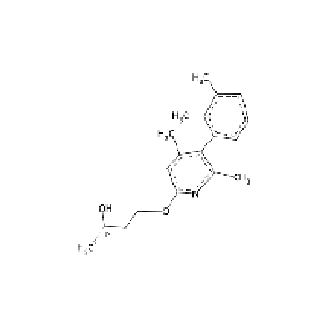 Cc1cccc(-c2c(C)cc(OCC[C@H](C)O)nc2C)c1C